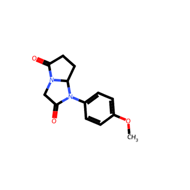 COc1ccc(N2C(=O)CN3C(=O)CCC32)cc1